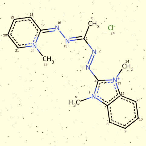 CC(N=Nc1n(C)c2ccccc2[n+]1C)=NN=c1ccccn1C.[Cl-]